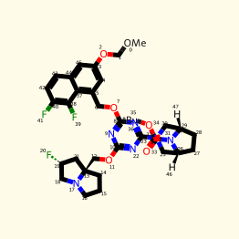 COCOc1cc(COc2nc(OC[C@@]34CCCN3C[C@H](F)C4)nc(N3C[C@H]4CC[C@@H](C3)N4C(=O)OC(C)(C)C)n2)c2c(F)c(F)ccc2c1